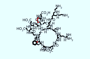 N=C(N)NCCC[C@@H]1NC(=O)[C@H](CS)NC(=O)[C@H](CCCCNC(=O)CC(CNCCN)CNCCN)NC(=O)CSC[C@@H](C(=O)NCC(=O)N[C@@H](CCC(=O)O)C(=O)N[C@@H](CCC(=O)O)C(=O)N[C@@H](CCC(=O)O)C(=O)N[C@@H](CCC(=O)O)C(=O)N[C@@H](CCC(=O)O)C(N)=O)NC(=O)[C@H](Cc2ccccc2)NC(=O)[C@H](CS)NC(=O)[C@H](CC(=O)O)NC(=O)CNC1=O